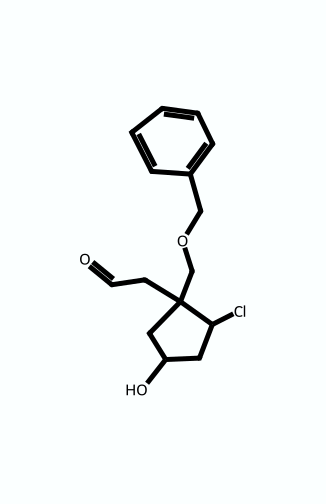 O=CCC1(COCc2ccccc2)CC(O)CC1Cl